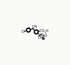 CN(O[SH](=O)=O)c1ccc(C(C#N)c2ccc(Cl)cc2)cc1C(=O)O